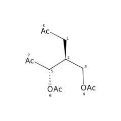 CC(=O)C[C@@H](COC(C)=O)[C@H](OC(C)=O)C(C)=O